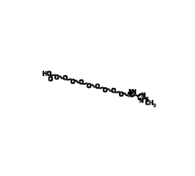 CSc1ncc(-c2cn(CCOCCOCCOCCOCCOCCOCCOCCOCCOCC(=O)O)nn2)cn1